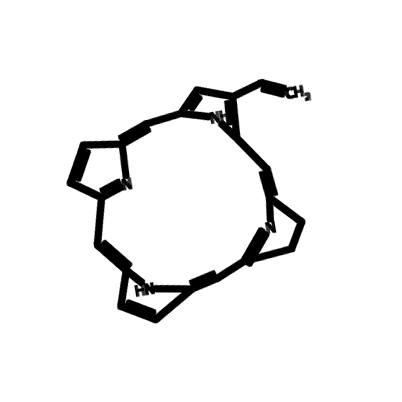 C=Cc1cc2cc3nc(cc4ccc(cc5nc(cc1[nH]2)CC5)[nH]4)C=C3